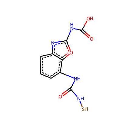 O=C(O)Nc1nc2cccc(NC(=O)NS)c2o1